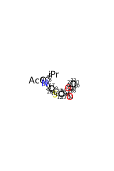 CC(=O)O/N=C(\CCC(C)C)c1ccc(Sc2ccc(C(=O)c3cc4ccccc4o3)cc2)cc1